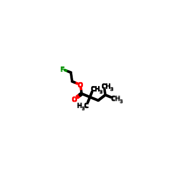 CC(C)CC(C)(C)C(=O)OCCF